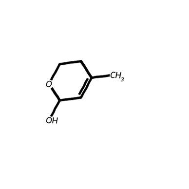 CC1=CC(O)OCC1